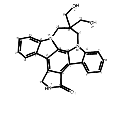 O=C1NCc2c1c1c3ccccc3n3c1c1c2c2ccccc2n1CC(CO)(CO)C3